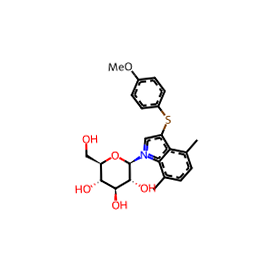 COc1ccc(Sc2cn([C@@H]3O[C@H](CO)[C@@H](O)[C@H](O)[C@H]3O)c3c(C)ccc(C)c23)cc1